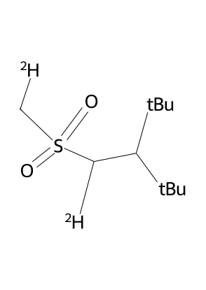 [2H]CS(=O)(=O)C([2H])C(C(C)(C)C)C(C)(C)C